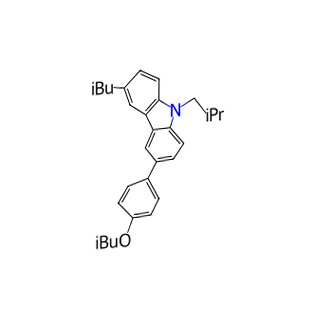 CCC(C)c1ccc2c(c1)c1cc(-c3ccc(OCC(C)C)cc3)ccc1n2CC(C)C